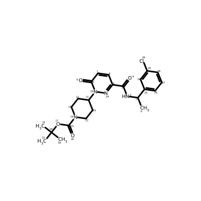 CC(NC(=O)c1ccc(=O)n(C2CCN(C(=O)OC(C)(C)C)CC2)n1)c1cccc(Cl)c1